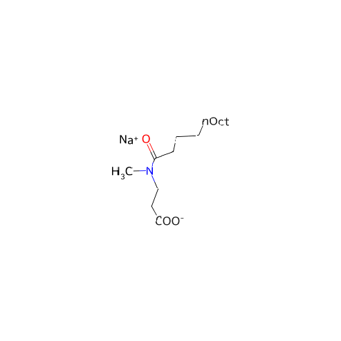 CCCCCCCCCCCC(=O)N(C)CCC(=O)[O-].[Na+]